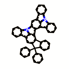 c1ccc(C2(c3ccccc3)c3ccccc3-c3c2cc2c4ccccc4n4c5cc6c7ccccc7n7c8ccccc8c(c5c3c24)c67)cc1